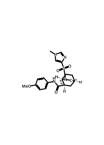 COc1ccc(NC(=O)[C@@H]2C[C@@H]3CC[C@H]2N(S(=O)(=O)c2cn(C)cn2)C3)cc1